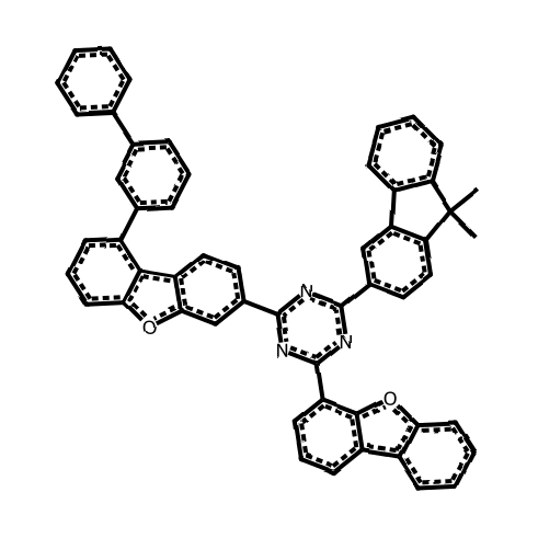 CC1(C)c2ccccc2-c2cc(-c3nc(-c4ccc5c(c4)oc4cccc(-c6cccc(-c7ccccc7)c6)c45)nc(-c4cccc5c4oc4ccccc45)n3)ccc21